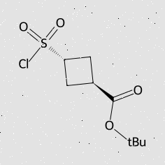 CC(C)(C)OC(=O)[C@H]1C[C@H](S(=O)(=O)Cl)C1